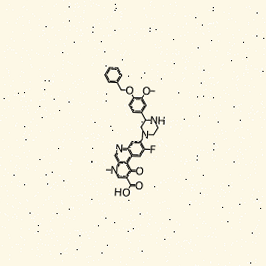 COc1cc(C2CN(c3cc4ncc5c(c(=O)c(C(=O)O)cn5C)c4cc3F)CCN2)ccc1OCc1ccccc1